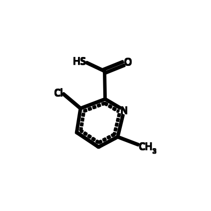 Cc1ccc(Cl)c(C(=O)S)n1